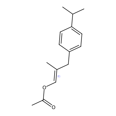 CC(=O)O/C=C(\C)Cc1ccc(C(C)C)cc1